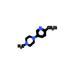 CCOC(=O)c1ccc(N2CCN(C)CC2)cn1